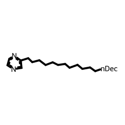 CCCCCCCCCCCCCCCCCCCCCCc1cnccn1